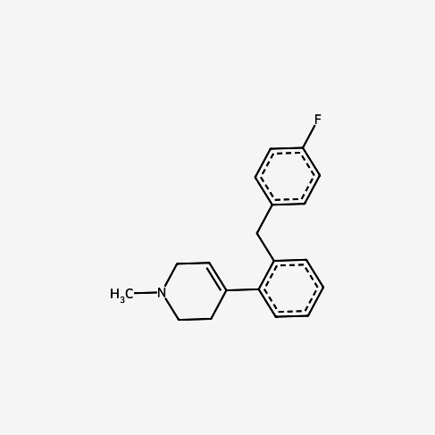 CN1CC=C(c2ccccc2Cc2ccc(F)cc2)CC1